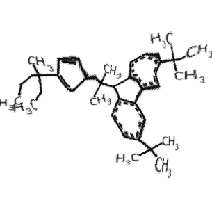 CCC(C)(CC)C1=CC(C(C)(C)C2c3ccc(C(C)(C)C)cc3-c3cc(C(C)(C)C)ccc32)C=C1